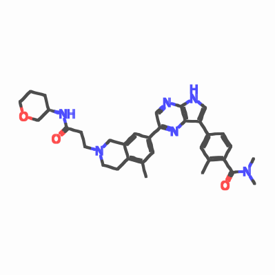 Cc1cc(-c2c[nH]c3ncc(-c4cc(C)c5c(c4)CN(CCC(=O)N[C@@H]4CCCOC4)CC5)nc23)ccc1C(=O)N(C)C